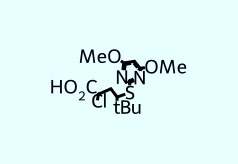 COc1cc(OC)nc(SC(CC(Cl)C(=O)O)C(C)(C)C)n1